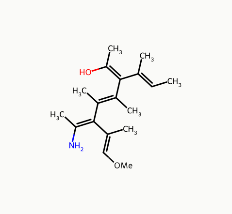 C/C=C(C)/C(=C(\C)O)C(/C)=C(C)/C(=C(\C)N)C(/C)=C/OC